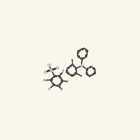 Cc1cccc(C)c1[S+](c1ccccc1)c1ccccc1.O=S(=O)([O-])c1c(F)c(F)c(F)c(F)c1F